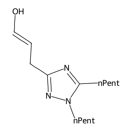 CCCCCc1nc(CC=CO)nn1CCCCC